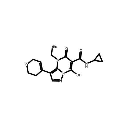 CC(C)(C)Cn1c(=O)c(C(=O)NC2CC2)c(O)n2ncc(C3=CCOCC3)c12